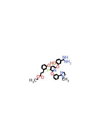 CCOC(=O)CCc1cccc(Oc2c(F)c(Oc3cccc(C4=NCCN4C)c3)nc(Oc3cc(C(=N)N)ccc3O)c2F)c1